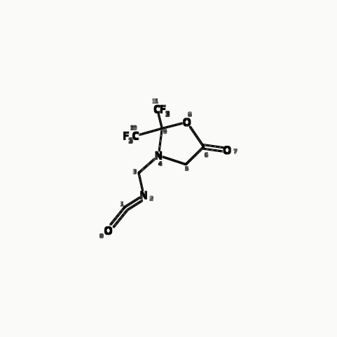 O=C=NCN1CC(=O)OC1(C(F)(F)F)C(F)(F)F